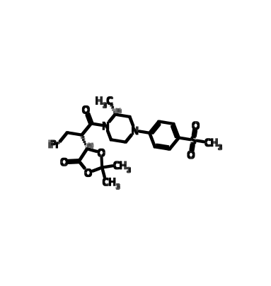 CC(C)CC(C(=O)N1CCN(c2ccc(S(C)(=O)=O)cc2)C[C@H]1C)[C@@H]1OC(C)(C)OC1=O